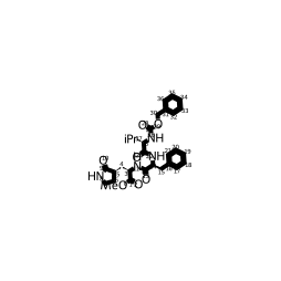 COC(=O)[C@H](C[C@@H]1CCNC1=O)NC(=O)[C@H](Cc1ccccc1)NC(=O)[C@@H](NC(=O)OCc1ccccc1)C(C)C